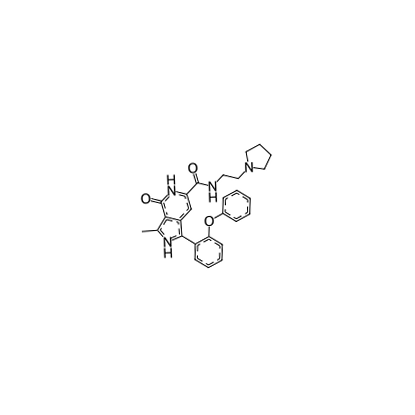 Cc1[nH]c(-c2ccccc2Oc2ccccc2)c2cc(C(=O)NCCN3CCCC3)[nH]c(=O)c12